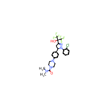 CN(C)C(=O)N1CCN(c2ccc(C3CC(C(O)(C(F)(F)F)C(F)(F)F)=NN3c3ccccc3Cl)cc2)CC1